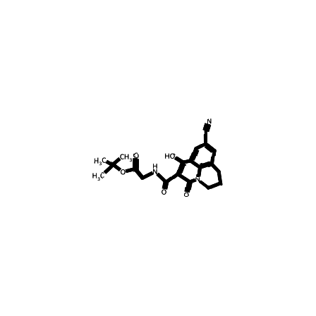 CC(C)(C)OC(=O)CNC(=O)c1c(O)c2cc(C#N)cc3c2n(c1=O)CCC3